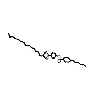 CCCCCCCCCCCCCCc1cnc(-c2ccc(OC(=O)C3CCC(CCCCCC)CC3)cc2)nc1